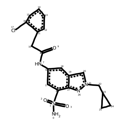 NS(=O)(=O)c1cc(NC(=O)Cc2ccccc2Cl)cc2cn(CC3CC3)nc12